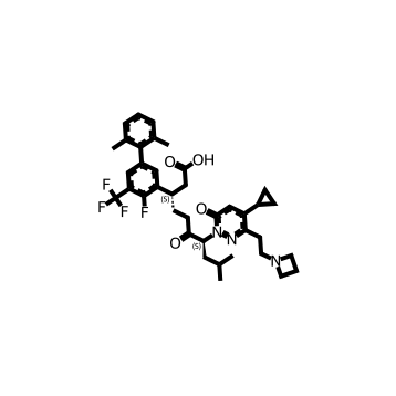 Cc1cccc(C)c1-c1cc([C@@H](CCC(=O)[C@H](CC(C)C)n2nc(CCN3CCC3)c(C3CC3)cc2=O)CC(=O)O)c(F)c(C(F)(F)F)c1